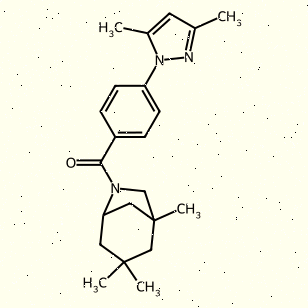 Cc1cc(C)n(-c2ccc(C(=O)N3CC4(C)CC3CC(C)(C)C4)cc2)n1